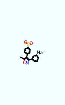 Cc1onc(-c2ccccc2)c1-c1ccc(S(=O)[O-])cc1.[Na+]